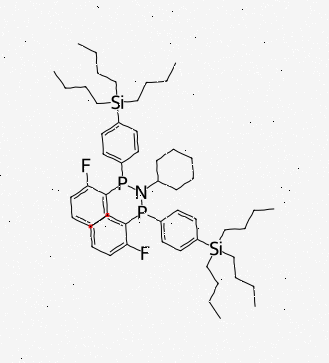 CCCC[Si](CCCC)(CCCC)c1ccc(P(c2ccccc2F)N(C2CCCCC2)P(c2ccc([Si](CCCC)(CCCC)CCCC)cc2)c2ccccc2F)cc1